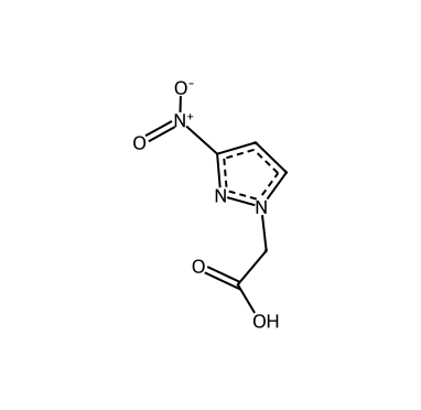 O=C(O)Cn1ccc([N+](=O)[O-])n1